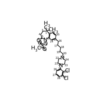 CC1(C)CCC(=O)N(OS(C)(=O)=O)c2cc(CCCCCN3CCN(c4cccc(Cl)c4Cl)CC3)ccc21